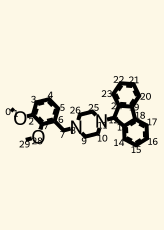 COc1cccc(CN2CCN(C3c4ccccc4-c4ccccc43)CC2)c1OC